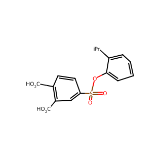 CC(C)c1ccccc1OS(=O)(=O)c1ccc(C(=O)O)c(C(=O)O)c1